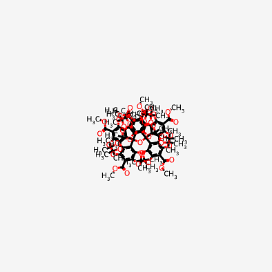 COC(=O)c1c2c(c(C(OC(c3c4c(c(C(=O)OC)c5c3OC(C)(C)O5)OC(C)(C)O4)(c3c4c(c(C(=O)OC)c5c3OC(C)(C)O5)OC(C)(C)O4)c3c4c(c(C(=O)OC)c5c3OC(C)(C)O5)OC(C)(C)O4)(c3c4c(c(C(=O)OC)c5c3OC(C)(C)O5)OC(C)(C)O4)c3c4c(c(C(=O)OC)c5c3OC(C)(C)O5)OC(C)(C)O4)c3c1OC(C)(C)O3)OC(C)(C)O2